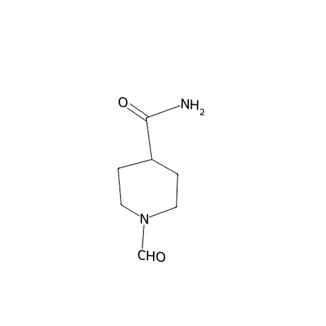 NC(=O)C1CCN(C=O)CC1